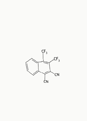 N#Cc1c(C(F)(F)F)c(C(F)(F)F)c2ccccc2c1C#N